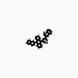 c1ccc2cc(-c3c4ccccc4c(-c4cncc(-c5cnc6ccccc6c5)c4)c4ccccc34)ccc2c1